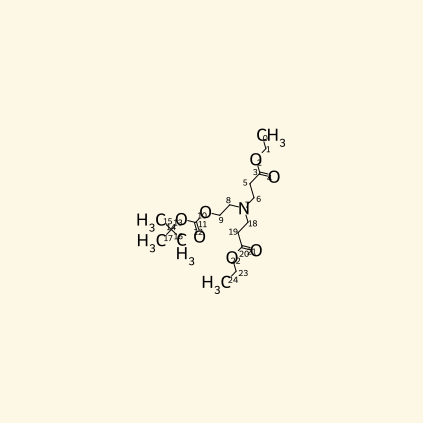 CCOC(=O)CCN(CCOC(=O)OC(C)(C)C)CCC(=O)OCC